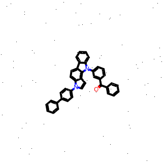 O=C(c1ccccc1)c1cccc(-n2c3ccccc3c3ccc4c(ccn4-c4ccc(-c5ccccc5)cc4)c32)c1